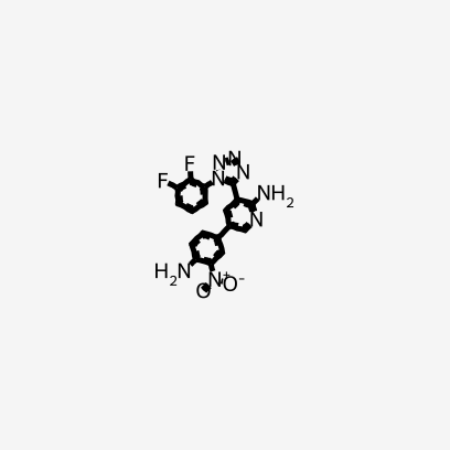 Nc1ccc(-c2cnc(N)c(-c3nnnn3-c3cccc(F)c3F)c2)cc1[N+](=O)[O-]